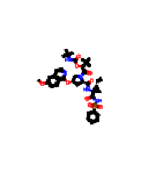 C=C[C@@H]1C[C@]1(NC(=O)[C@@H]1C[C@@H](Oc2nccc3cc(OC)ccc23)CN1C(=O)[C@@H](OC(=O)NC(C)(C)C)C(C)(C)C)C(=O)NS(=O)(=O)c1ccccc1